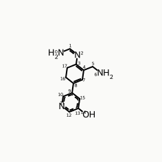 N/C=N\C1=C(CN)C=C(c2cncc(O)c2)CC1